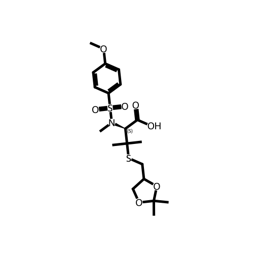 COc1ccc(S(=O)(=O)N(C)[C@@H](C(=O)O)C(C)(C)SCC2COC(C)(C)O2)cc1